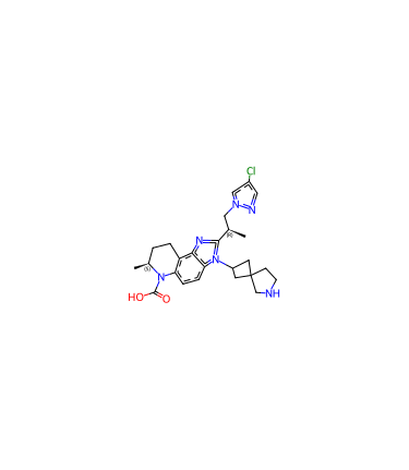 C[C@H](Cn1cc(Cl)cn1)c1nc2c3c(ccc2n1C1CC2(CCNC2)C1)N(C(=O)O)[C@@H](C)CC3